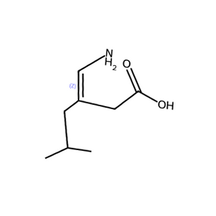 CC(C)C/C(=C/N)CC(=O)O